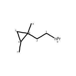 CCCCCC1(C)CC1C